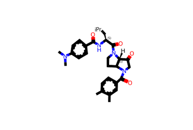 Cc1ccc(C(=O)N2CC(=O)[C@@H]3C2CCN3C(=O)[C@H](CC(C)C)NC(=O)c2ccc(N(C)C)cc2)cc1C